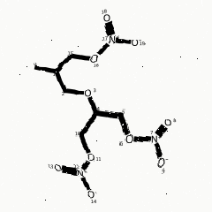 CC(COC(CO[N+](=O)[O-])CO[N+](=O)[O-])CO[N+](=O)[O-]